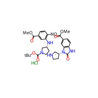 COC(=O)c1ccc([N+](=O)[O-])c(N[C@@H]2CCN(C(=O)OC(C)(C)C)C2)c1.COC(=O)c1ccc2[nH]c(=O)n([C@@H]3CCNC3)c2c1.Cl